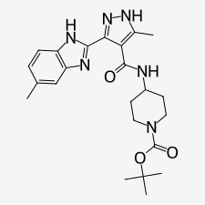 Cc1ccc2[nH]c(-c3n[nH]c(C)c3C(=O)NC3CCN(C(=O)OC(C)(C)C)CC3)nc2c1